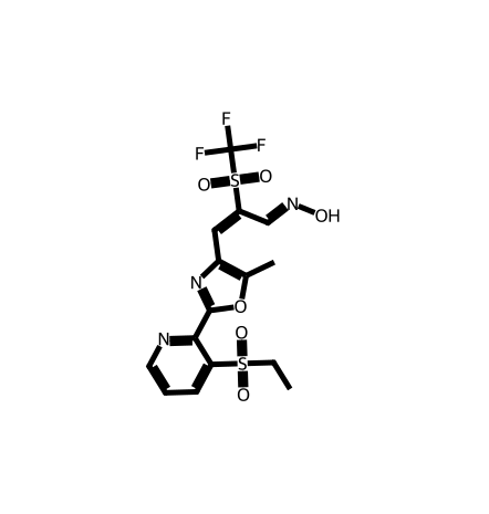 CCS(=O)(=O)c1cccnc1-c1nc(/C=C(\C=N\O)S(=O)(=O)C(F)(F)F)c(C)o1